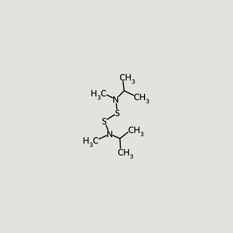 CC(C)N(C)SSN(C)C(C)C